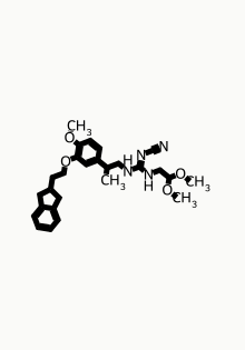 COc1ccc(C(C)CNC(=NC#N)NCC(OC)OC)cc1OCCC1Cc2ccccc2C1